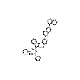 c1ccc(C2=NC(n3c4c(c5ccccc53)-c3cc(-c5ccc6cc(-c7cccc8ccccc78)ccc6c5)ccc3CC4)=NC(c3ccccc3)N2)cc1